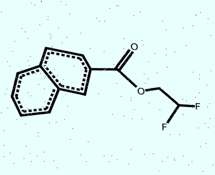 O=C(OCC(F)F)c1ccc2ccccc2c1